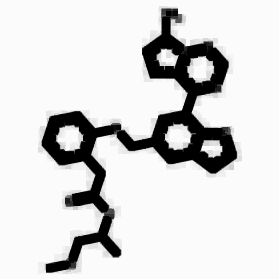 COCC(C)OC(=O)Cc1ccccc1OCc1cc(-c2ncnn3c(N)ccc23)c2occc2c1